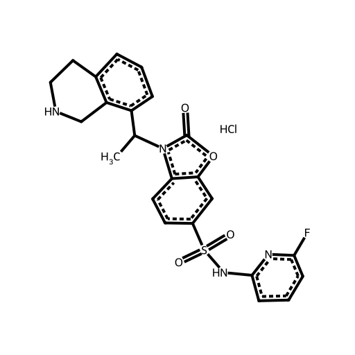 CC(c1cccc2c1CNCC2)n1c(=O)oc2cc(S(=O)(=O)Nc3cccc(F)n3)ccc21.Cl